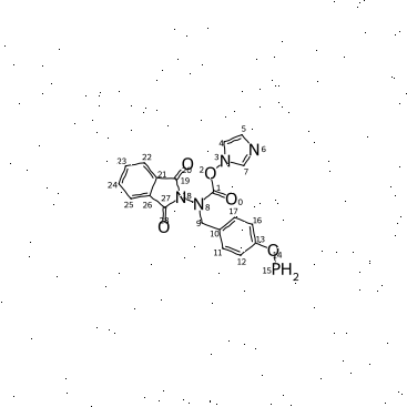 O=C(On1ccnc1)N(Cc1ccc(OP)cc1)N1C(=O)c2ccccc2C1=O